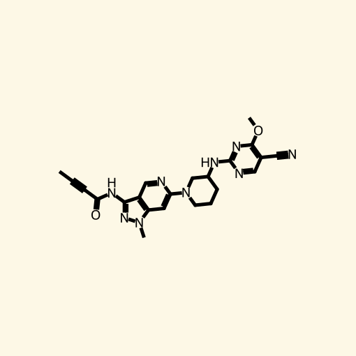 CC#CC(=O)Nc1nn(C)c2cc(N3CCCC(Nc4ncc(C#N)c(OC)n4)C3)ncc12